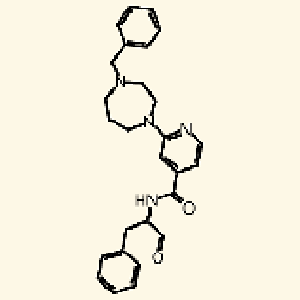 O=CC(Cc1ccccc1)NC(=O)c1ccnc(N2CCCN(Cc3ccccc3)CC2)c1